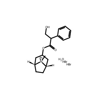 Br.Br.CC(C)[N+]1(C)[C@@H]2CC[C@H]1CC(OC(=O)C(CO)c1ccccc1)C2.O